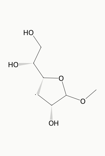 COC1O[C@@H]([C@H](O)CO)[CH][C@H]1O